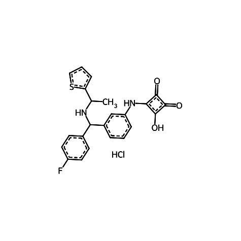 CC(NC(c1ccc(F)cc1)c1cccc(Nc2c(O)c(=O)c2=O)c1)c1cccs1.Cl